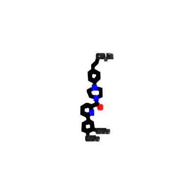 CCOC(=O)CCc1ccc(N2CCN(C(=O)c3cccc(-c4ccc(OC)c(OC)c4)n3)CC2)cc1